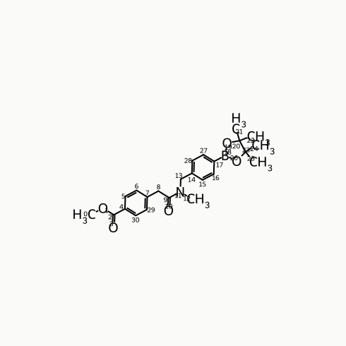 COC(=O)c1ccc(CC(=O)N(C)Cc2ccc(B3OC(C)(C)C(C)(C)O3)cc2)cc1